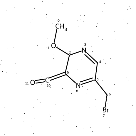 COC1N=CC(CBr)=NC1=C=O